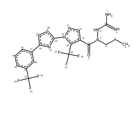 CCCN(NC(=N)N)C(=O)c1cnn(-c2nc(-c3cccc(C(F)(F)F)c3)cs2)c1C(F)(F)F